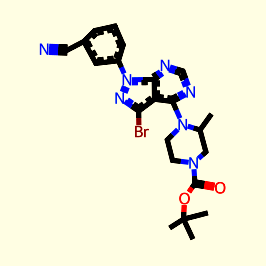 CC1CN(C(=O)OC(C)(C)C)CCN1c1ncnc2c1c(Br)nn2-c1cccc(C#N)c1